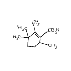 CC1=C(C(=O)O)C(C)CCC1(C)C